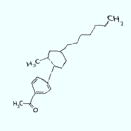 CCCCCCCC1CCC(c2ccc(C(C)=O)cc2)C(C)C1